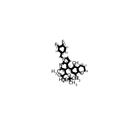 Cc1nc2c(ccn2Cc2ccc(F)c(F)c2)c(-c2cc(Cl)c3c(c2C)CCCO3)c1C(OC(C)(C)C)C(=O)O